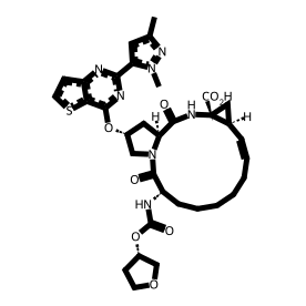 Cc1cc(-c2nc(O[C@@H]3C[C@H]4C(=O)N[C@]5(C(=O)O)C[C@H]5/C=C\CCCCC[C@H](NC(=O)O[C@H]5CCOC5)C(=O)N4C3)c3sccc3n2)n(C)n1